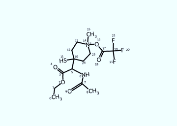 CCOC(=O)C(NC(C)=O)C1(S)CC[N+](C)(OC(=O)C(F)(F)F)CC1